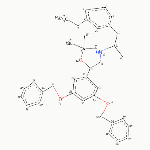 CC(Cc1cccc(CC(=O)O)c1)NCC(O[Si](C)(C)C(C)(C)C)c1cc(OCc2ccccc2)cc(OCc2ccccc2)c1